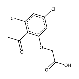 CC(=O)c1c(Cl)cc(Cl)cc1OCC(=O)O